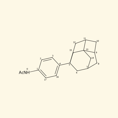 CC(=O)Nc1ccc(C23CC4CC5CC(C2)C5(C4)C3)cc1